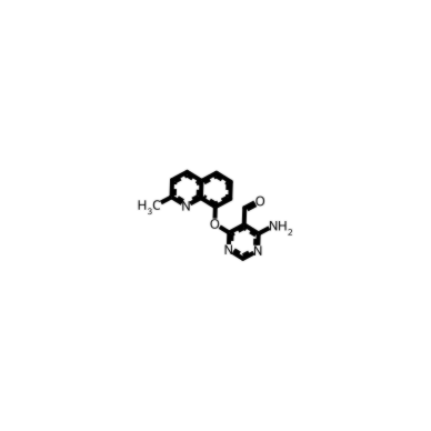 Cc1ccc2cccc(Oc3ncnc(N)c3C=O)c2n1